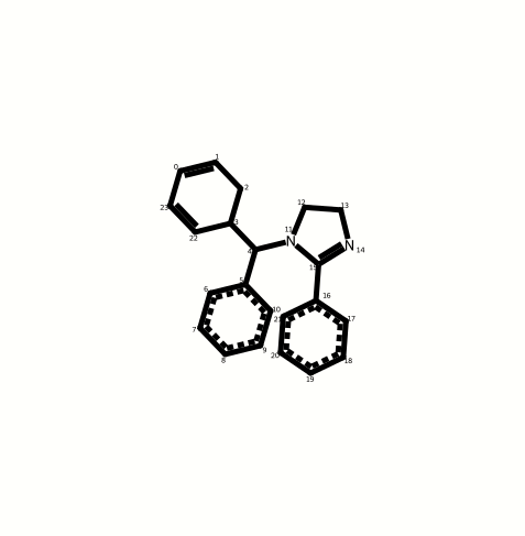 C1=CCC(C(c2ccccc2)N2CCN=C2c2ccccc2)C=C1